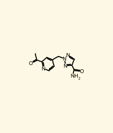 CC(=O)c1cc(Cn2ncc(C(N)=O)n2)ccn1